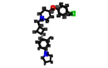 Cc1cc(N2CCCC2)ccc1[C@H]1C[C@H](CN2CCC(Oc3ccc(Cl)cc3)CC2)C1